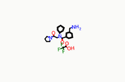 NCc1cccc(C(=O)N(CC(=O)N2CCCC2)c2ccccc2)c1.O=C(O)C(F)(F)F